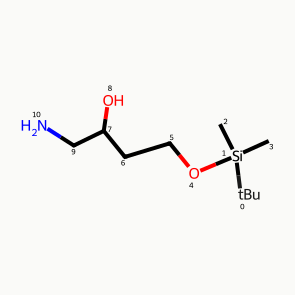 CC(C)(C)[Si](C)(C)OCCC(O)CN